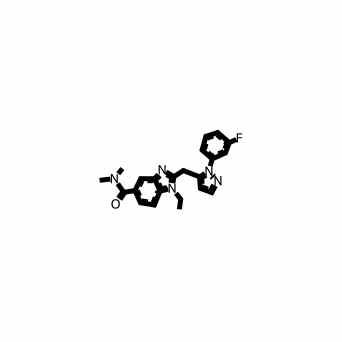 CCn1c(Cc2ccnn2-c2cccc(F)c2)nc2cc(C(=O)N(C)C)ccc21